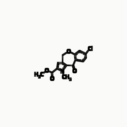 COC(=O)c1cc2c(n1C)C(=O)c1ccc(Cl)cc1OC2